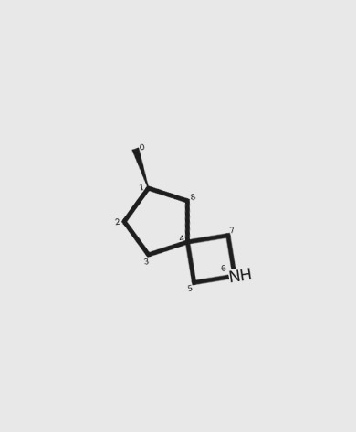 C[C@@H]1CCC2(CNC2)C1